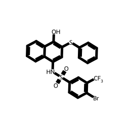 O=S(=O)(Nc1cc(Sc2ccccc2)c(O)c2ccccc12)c1ccc(Br)c(C(F)(F)F)c1